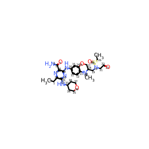 CCc1nc(C(N)=O)c(Nc2ccc3c(c2)OCC(CN(CC=O)[S+]([O-])CC)N3C)nc1NC1CCOCC1